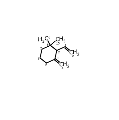 C=CC1C(=C)CCCC1(C)C